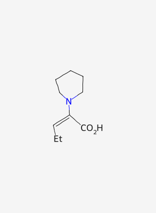 CC/C=C(\C(=O)O)N1CCCCC1